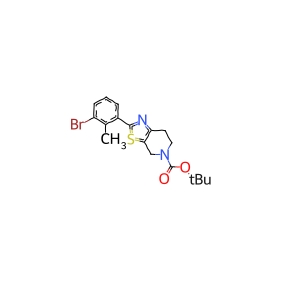 Cc1c(Br)cccc1-c1nc2c(s1)CN(C(=O)OC(C)(C)C)CC2